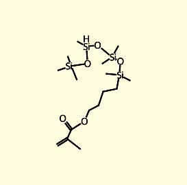 C=C(C)C(=O)OCCCC[Si](C)(C)O[Si](C)(C)O[SiH](C)O[Si](C)(C)C